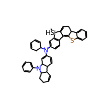 C[SiH]1C2=CCC3C(=C2c2ccc(N(C4=CC5C(C=C4)C4C=CCCC4N5c4ccccc4)C4C=CC=CC4)cc21)Sc1ccccc13